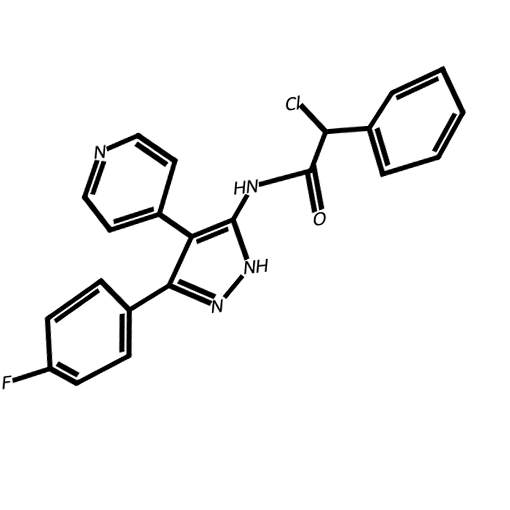 O=C(Nc1[nH]nc(-c2ccc(F)cc2)c1-c1ccncc1)C(Cl)c1ccccc1